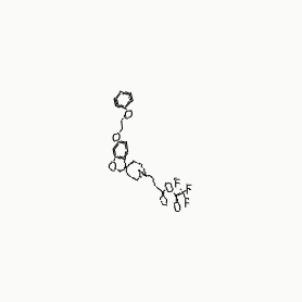 O=C(CCN1CCC2(CC1)COc1cc(OCCOc3ccccc3)ccc12)OC(=O)C(F)(F)F